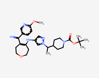 COc1ccc(C(=N)C2=C(Nc3cnn(C(C)C4CCN(C(=O)OC(C)(C)C)CC4)c3)CCOCC2)cn1